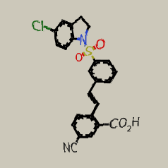 N#Cc1ccc(/C=C/c2cccc(S(=O)(=O)N3CCc4cc(Cl)ccc43)c2)c(C(=O)O)c1